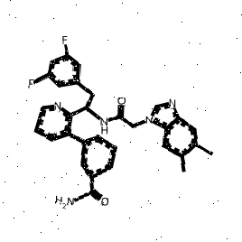 Cc1cc2ncn(CC(=O)NC(Cc3cc(F)cc(F)c3)c3ncccc3-c3cccc(C(N)=O)c3)c2cc1C